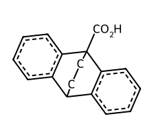 O=C(O)C12CCC(c3ccccc31)c1ccccc12